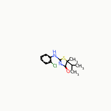 CC(C)C1(C)SC(Nc2ccccc2Cl)=NC1=O